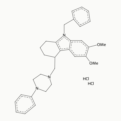 COc1cc2c3c(n(Cc4ccccc4)c2cc1OC)CCCC3CN1CCN(c2ccccc2)CC1.Cl.Cl